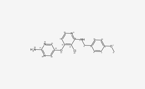 COc1ccc(CNc2nccc(Oc3cnc(N)nc3)c2Cl)cc1